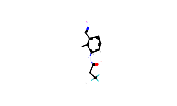 Cc1c(/C=N/O)cccc1NC(=O)CC(F)(F)F